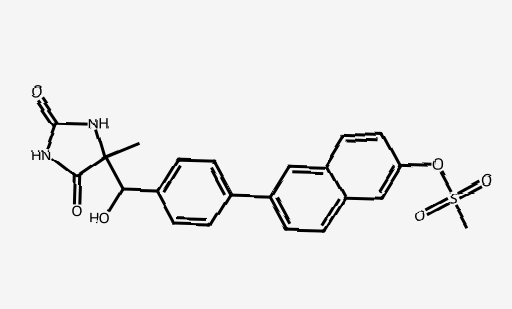 CC1(C(O)c2ccc(-c3ccc4cc(OS(C)(=O)=O)ccc4c3)cc2)NC(=O)NC1=O